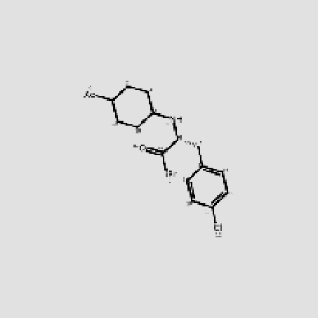 CC(=O)C1CCC(N[C@H](Cc2ccc(Cl)cc2)C(=O)C(C)C)CC1